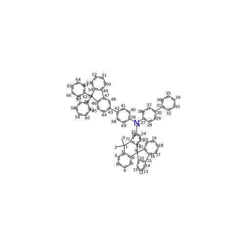 CC1(C)c2ccccc2C2(c3ccccc3-c3ccccc32)c2ccc(N(c3ccc(-c4ccccc4)cc3)c3ccc(-c4ccc5c(c4)-c4ccccc4C5(c4ccccc4)c4ccccc4)cc3)cc21